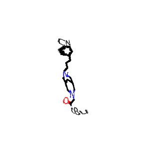 CC(C)(C)C(=O)CN1CC2CC(CN(CCCCc3ccc(C#N)cc3)C2)C1